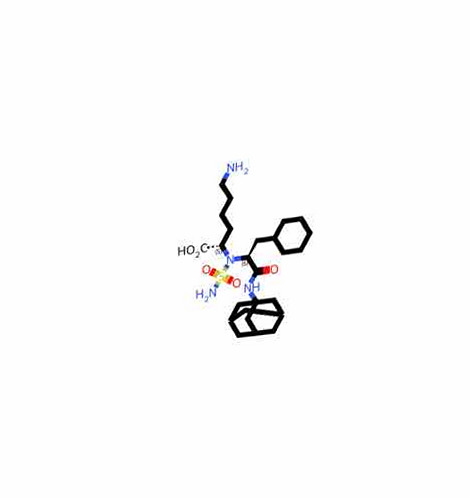 NCCCC[C@@H](C(=O)O)N([C@@H](CC1CCCCC1)C(=O)NC12CC3CC(CC(C3)C1)C2)S(N)(=O)=O